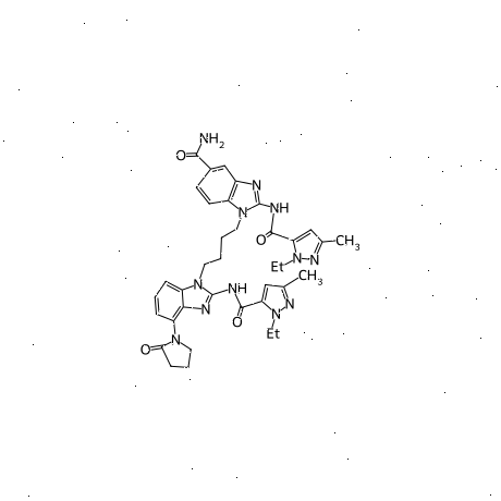 CCn1nc(C)cc1C(=O)Nc1nc2cc(C(N)=O)ccc2n1CCCCn1c(NC(=O)c2cc(C)nn2CC)nc2c(N3CCCC3=O)cccc21